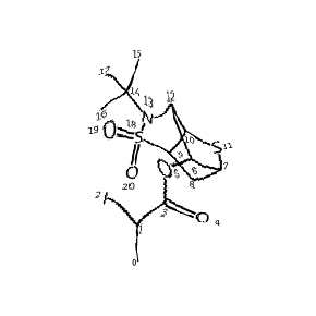 CC(I)C(=O)OC1C2CC3C(S2)C1N(C(C)(C)C)S3(=O)=O